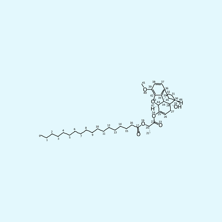 CCCCCCCCCCCCCCCCCC(=O)O[C@@H](C)C(=O)OC1=CC[C@]2(O)[C@H]3CCC[C@]24c2c(ccc(OC)c2O[C@H]14)C3